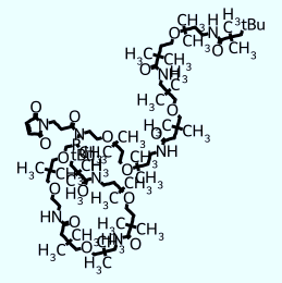 CP(COCC(C)(C)COCCNC(=O)CC(C)(C)COCC(C)(C)CNC(=O)C(C)(C)CCOC(C)(C)CCNC(=O)C(C)(C)CC(C)(C)C)N(CCOC(C)(C)CCOC(C)(C)CCNC(=O)CC(C)(C)COCC(C)(C)CNC(=O)C(C)(C)CCOC(C)(C)CCNC(=O)C(C)(C)CC(C)(C)C)C(=O)CCN1C(=O)C=CC1=O